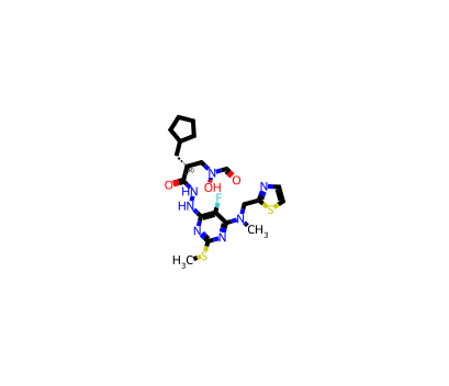 CSc1nc(NNC(=O)[C@H](CC2CCCC2)CN(O)C=O)c(F)c(N(C)Cc2nccs2)n1